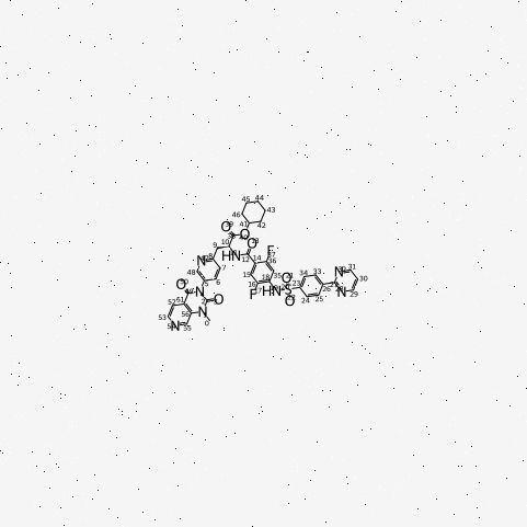 Cn1c(=O)n(-c2ccc(C[C@H](NC(=O)c3cc(F)c(NS(=O)(=O)c4ccc(-c5ncccn5)cc4)cc3F)C(=O)OC3CCCCC3)nc2)c(=O)c2ccncc21